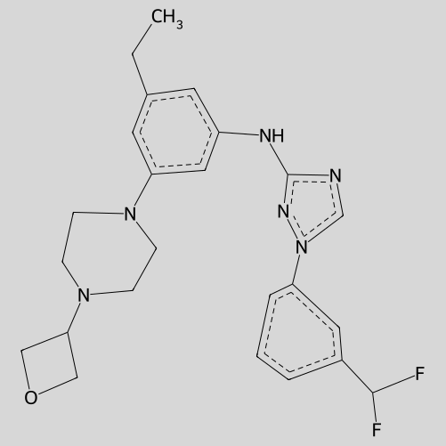 CCc1cc(Nc2ncn(-c3cccc(C(F)F)c3)n2)cc(N2CCN(C3COC3)CC2)c1